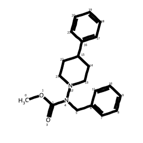 COC(=O)N(Cc1ccccc1)N1CCC(c2ccccc2)CC1